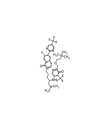 CN(C)CC(CCCn1ccc2cc(-c3ncc(C(F)(F)F)cn3)c(F)cc2c1=O)Nc1cnn(COCC[Si](C)(C)C)c(=O)c1C(F)(F)F